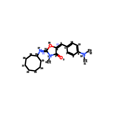 CCN1C(=O)/C(=C\c2ccc(N(CC)CC)cc2)O/C1=N/C1CCCCCCC1